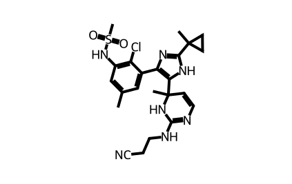 Cc1cc(NS(C)(=O)=O)c(Cl)c(-c2nc(C3(C)CC3)[nH]c2C2(C)C=CN=C(NCCC#N)N2)c1